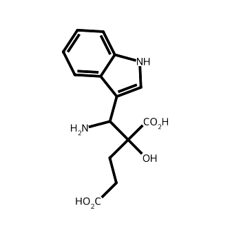 NC(c1c[nH]c2ccccc12)C(O)(CCC(=O)O)C(=O)O